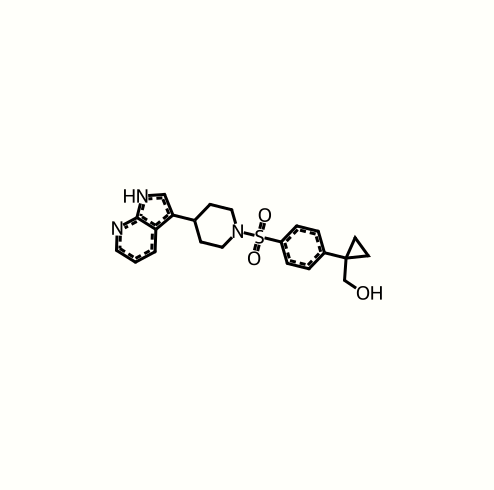 O=S(=O)(c1ccc(C2(CO)CC2)cc1)N1CCC(c2c[nH]c3ncccc23)CC1